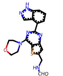 O=CNCc1cc2nc(-c3cccc4[nH]ncc34)nc(N3CCOCC3)c2s1